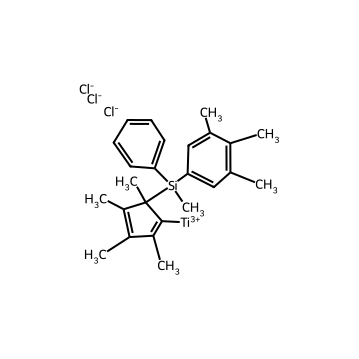 CC1=C(C)C(C)([Si](C)(c2ccccc2)c2cc(C)c(C)c(C)c2)[C]([Ti+3])=C1C.[Cl-].[Cl-].[Cl-]